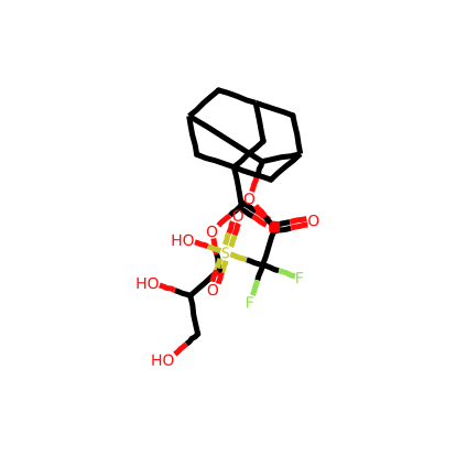 O=C(OCC(O)CO)C12CC3CC(C1)C(OC(=O)C(F)(F)S(=O)(=O)O)C(C3)C2